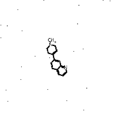 CN1CC=C(c2ccc3cccnc3c2)CC1